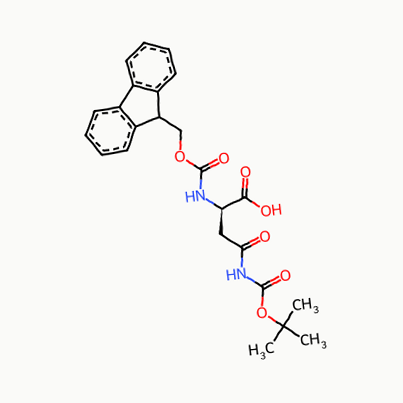 CC(C)(C)OC(=O)NC(=O)C[C@@H](NC(=O)OCC1c2ccccc2-c2ccccc21)C(=O)O